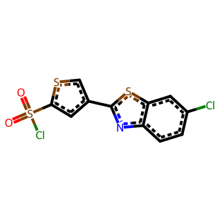 O=S(=O)(Cl)c1cc(-c2nc3ccc(Cl)cc3s2)cs1